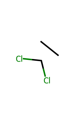 CC.ClCCl